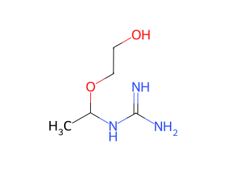 CC(NC(=N)N)OCCO